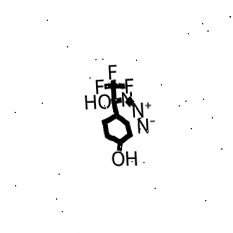 [N-]=[N+]=NC(O)(C1CCC(O)CC1)C(F)(F)F